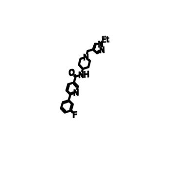 CCn1cc(CN2CCC(NC(=O)c3ccc(-c4cccc(F)c4)nc3)CC2)cn1